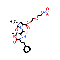 CC(NC(CCc1ccccc1)C(=O)O)C(=O)N1C(=O)N(C)CC1C(=O)OCCOCCO[N+](=O)[O-]